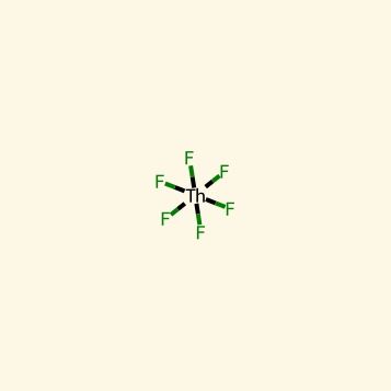 [F][Th]([F])([F])([F])([F])[F]